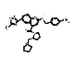 O=C(c1cc(NCc2ccc(C(F)(F)F)cc2)nc2ccc(-c3nc(Cl)ns3)cc12)N1CCC[C@H]1CN1CCCC1